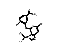 CC(C)n1cnc2cc(Br)nc(Nc3cc(C(N)=O)ccc3F)c21